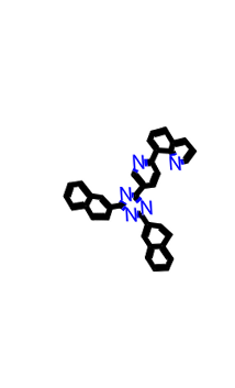 c1ccc2cc(-c3nc(-c4ccc(-c5cccc6cccnc56)nc4)nc(-c4ccc5ccccc5c4)n3)ccc2c1